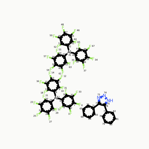 Fc1c(F)c(F)[c]([Al]([c]2c(F)c(F)c(F)c(F)c2F)[c]2c(F)c(F)c(F)c(F)c2F)c(F)c1F.Fc1c(F)c(F)[c]([Al]([c]2c(F)c(F)c(F)c(F)c2F)[c]2c(F)c(F)c(F)c(F)c2F)c(F)c1F.c1ccc(-c2nn[nH]c2-c2ccccc2)cc1